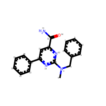 CN(Cc1ccccc1)c1nc(C(N)=O)cc(-c2ccccc2)n1